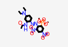 CCN(CC)c1ccc(N=Nc2c([N+](=O)[O-])cc([N+](=O)[O-])cc2P(=O)(OC)OC)c(NC(C)=O)c1